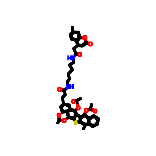 CC(=O)Oc1c2ccc(CCC(=O)NCCCCCCNC(=O)Cc3cc(=O)oc4cc(C)ccc34)cc2c(OC(C)=O)c2c1sc1c(C)c3ccccc3c(OC(C)=O)c12